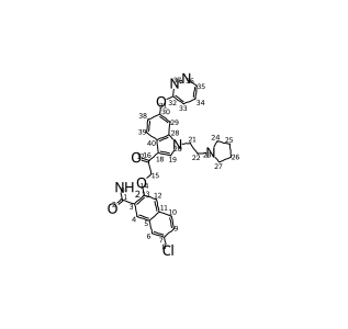 NC(=O)c1cc2cc(Cl)ccc2cc1OCC(=O)c1cn(CCN2CCCC2)c2cc(Oc3cccnn3)ccc12